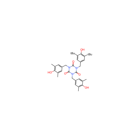 Cc1cc(Cn2c(=O)n(Cc3cc(C)c(O)c(C)c3)c(=O)n(Cc3cc(C(C)(C)C)c(O)c(C(C)(C)C)c3)c2=O)cc(C)c1O